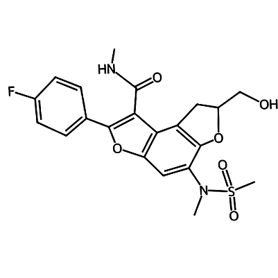 CNC(=O)c1c(-c2ccc(F)cc2)oc2cc(N(C)S(C)(=O)=O)c3c(c12)CC(CO)O3